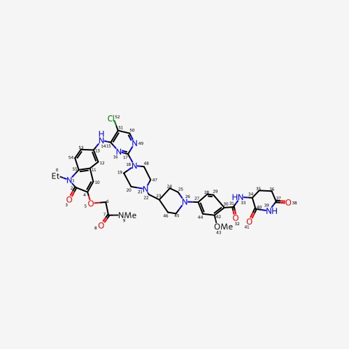 CCn1c(=O)c(OCC(=O)NC)cc2cc(Nc3nc(N4CCN(CC5CCN(c6ccc(C(=O)NC7CCC(=O)NC7=O)c(OC)c6)CC5)CC4)ncc3Cl)ccc21